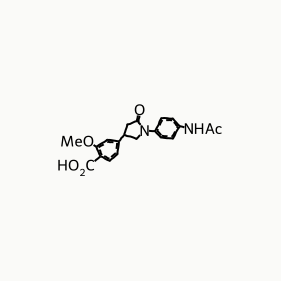 COc1cc(C2CC(=O)N(c3ccc(NC(C)=O)cc3)C2)ccc1C(=O)O